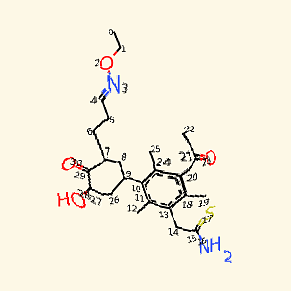 CCON=CCCC1CC(c2c(C)c(CC(N)=S)c(C)c(C(C)=O)c2C)CC(O)C1=O